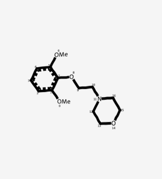 COc1c[c]cc(OC)c1OCCN1CCOCC1